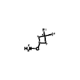 NOC1CC(F)(I)C1